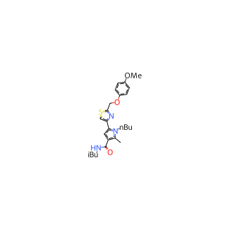 CCCCn1c(-c2csc(COc3ccc(OC)cc3)n2)cc(C(=O)NC(C)CC)c1C